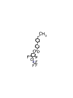 CCCc1ccc(-c2ccc(C(=O)Oc3cc(F)c(O/C=C/C(F)(F)F)c(F)c3)cc2)cc1